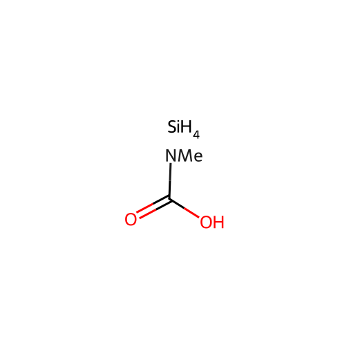 CNC(=O)O.[SiH4]